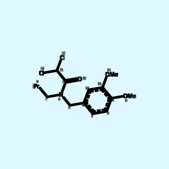 COc1ccc(CN(CC(C)C)C(=O)C(Cl)Cl)cc1OC